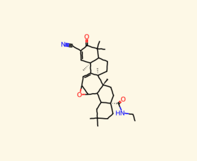 CCNC(=O)[C@]12CCC(C)(C)CC1C1C3OC3C=C3[C@@]4(C)C=C(C#N)C(=O)C(C)(C)C4CC[C@@]3(C)[C@]1(C)CC2